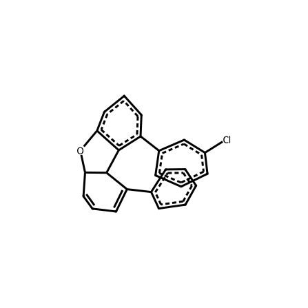 Clc1cccc(-c2cccc3c2C2C(c4ccccc4)=CC=CC2O3)c1